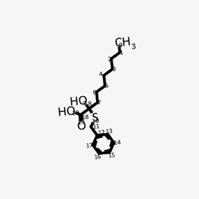 CCCCCCCCC(O)(SCc1ccccc1)C(=O)O